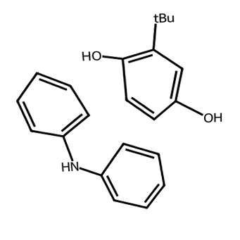 CC(C)(C)c1cc(O)ccc1O.c1ccc(Nc2ccccc2)cc1